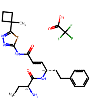 CC[C@H](N)C(=O)N[C@H](C=CC(=O)Nc1nnc(C2(C)CCC2)s1)CCc1ccccc1.O=C(O)C(F)(F)F